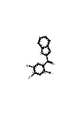 O=C(c1cc2ccccc2s1)c1cc(Br)c(F)cc1F